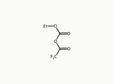 CCOC(=O)OC(=O)C(F)(F)F